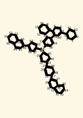 c1ccc(-c2ccc(-c3ccccc3)c(-c3ccc(N(c4ccc(-c5ccc(-c6ccc7ccccc7c6)cc5)cc4)c4ccc(-c5ccc6ccccc6c5)cc4)cc3)c2)cc1